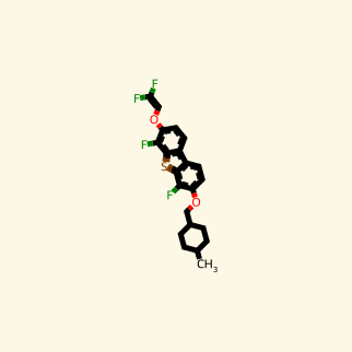 CC1CCC(COc2ccc3c(sc4c(F)c(OC=C(F)F)ccc43)c2F)CC1